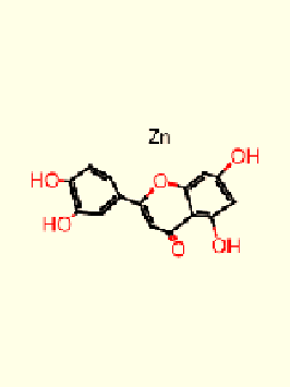 O=c1cc(-c2ccc(O)c(O)c2)oc2cc(O)cc(O)c12.[Zn]